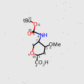 COC1C[C@@H](C(=O)O)OCC1NC(=O)OC(C)(C)C